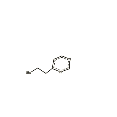 CC(C)(C)CCc1ccncn1